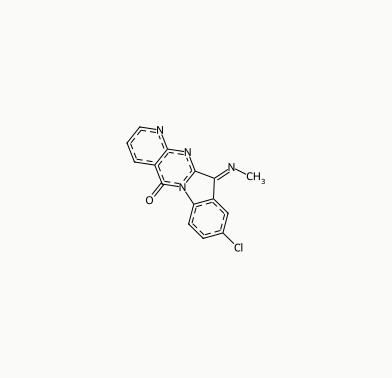 C/N=C1\c2cc(Cl)ccc2-n2c1nc1ncccc1c2=O